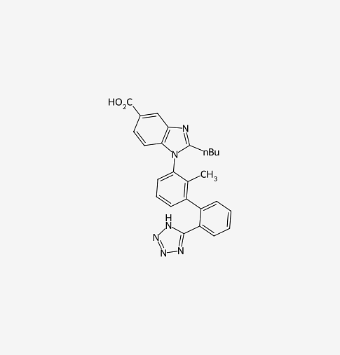 CCCCc1nc2cc(C(=O)O)ccc2n1-c1cccc(-c2ccccc2-c2nnn[nH]2)c1C